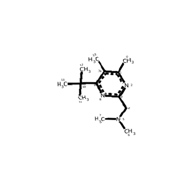 Cc1nc(CN(C)C)nc(C(C)(C)C)c1C